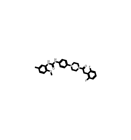 COc1ccc(C)cc1NC(=O)Nc1ccc(N2CCN(C(=O)Cc3c(F)cccc3F)CC2)cc1